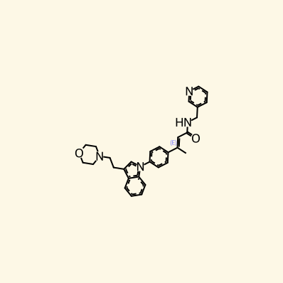 C/C(=C\C(=O)NCc1cccnc1)c1ccc(-n2cc(CCN3CCOCC3)c3ccccc32)cc1